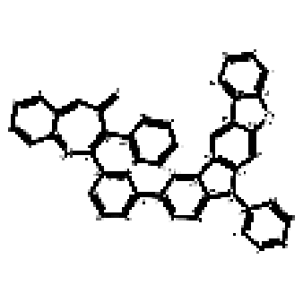 C=C1C=c2ccccc2=NC(c2cccc(-c3ccc4c(c3)c3cc5c(cc3n4-c3ccccc3)oc3ccccc35)c2)=C1c1ccccc1